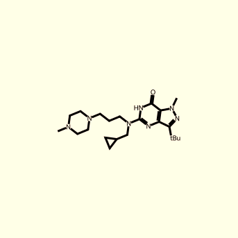 CN1CCN(CCCN(CC2CC2)c2nc3c(C(C)(C)C)nn(C)c3c(=O)[nH]2)CC1